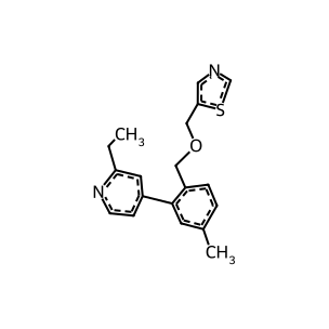 CCc1cc(-c2cc(C)ccc2COCc2cncs2)ccn1